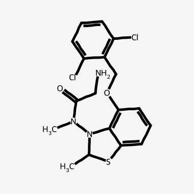 CC1Sc2cccc(OCc3c(Cl)cccc3Cl)c2N1N(C)C(=O)CN